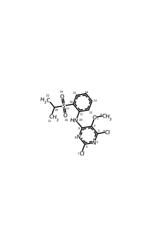 COc1c(Cl)nc(Cl)nc1Nc1ccccc1S(=O)(=O)C(C)C